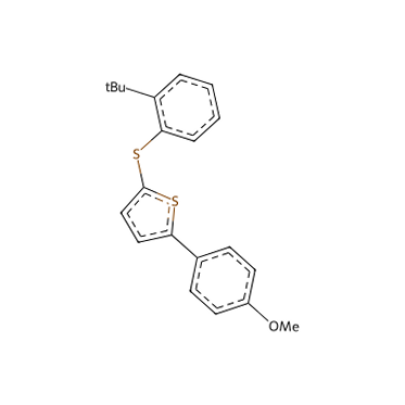 COc1ccc(-c2ccc(Sc3ccccc3C(C)(C)C)s2)cc1